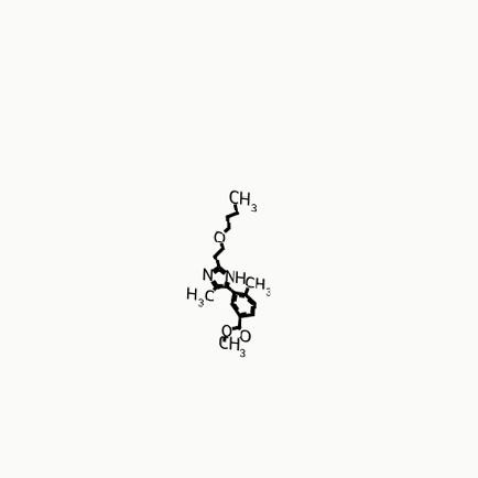 CCCCOCCc1nc(C)c(-c2cc(C(=O)OC)ccc2C)[nH]1